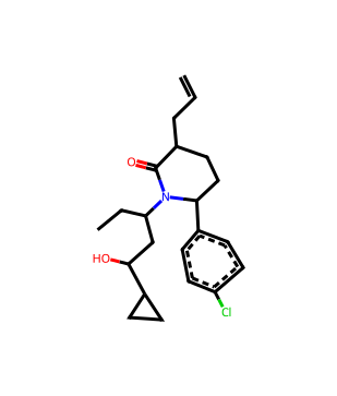 C=CCC1CCC(c2ccc(Cl)cc2)N(C(CC)CC(O)C2CC2)C1=O